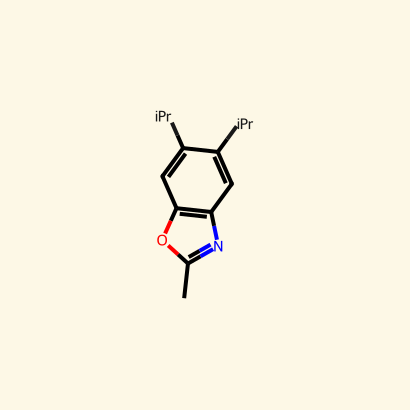 Cc1nc2cc(C(C)C)c(C(C)C)cc2o1